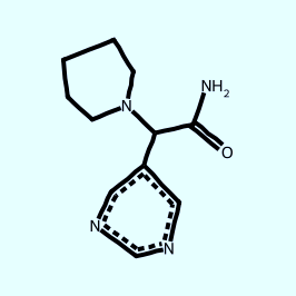 NC(=O)C(c1cncnc1)N1CCCCC1